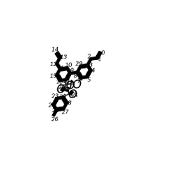 C=CCc1ccc(O)c(-c2cc(CC=C)ccc2OS(=O)(=O)c2ccc(C)cc2)c1